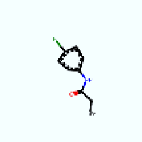 CC(C)CC(=O)Nc1ccc(F)cc1